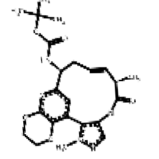 C[C@@H]1/C=C/C[C@H](NC(=O)OC(C)(C)C)c2cc(c3c(n2)OCCO3)-c2c(cnn2C)NC1=O